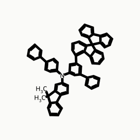 CC1(C)c2ccccc2-c2ccc(N(c3ccc(-c4ccccc4)cc3)c3cc(-c4ccccc4)cc(-c4cccc5c4-c4ccccc4C54c5ccccc5-c5ccccc54)c3)cc21